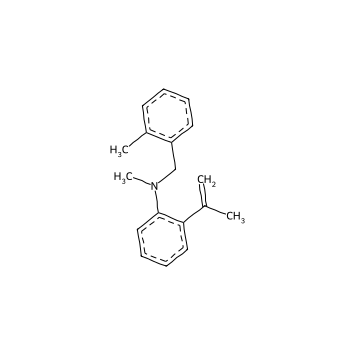 C=C(C)c1ccccc1N(C)Cc1ccccc1C